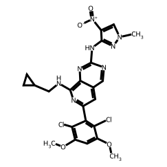 COc1cc(OC)c(Cl)c(-c2cc3cnc(Nc4nn(C)cc4[N+](=O)[O-])nc3c(NCC3CC3)n2)c1Cl